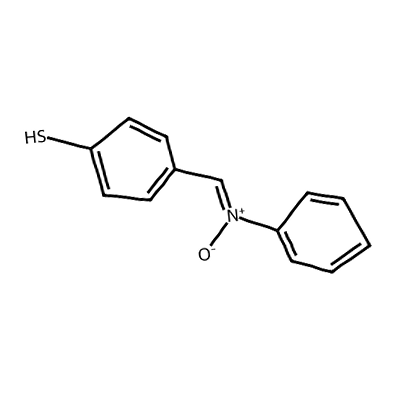 [O-][N+](=Cc1ccc(S)cc1)c1ccccc1